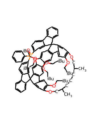 CCC(C)COc1cc2c(cc1OCC(C)CC)C13c4ccccc4-c4ccc(cc41)P(=O)(c1ccccc1)c1ccc4c(c1)C1(c5ccccc5-4)c4cc(OCC(C)CC)c(OCC(C)CC)cc4-c4cc(OCC(C)CC)c(cc41)OCC(C)CCCC(C)COc1cc3c-2cc1OCC(C)CC